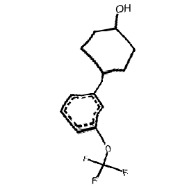 OC1CCC(c2cccc(OC(F)(F)F)c2)CC1